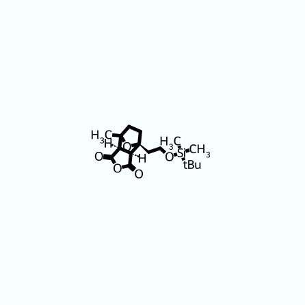 CC12CC[C@@](CCO[Si](C)(C)C(C)(C)C)(O1)[C@H]1C(=O)OC(=O)[C@H]12